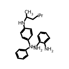 CC(C)CC(C)Nc1ccc(Nc2ccccc2)cc1.Nc1ccccc1N